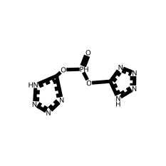 O=[PH](Oc1nnn[nH]1)Oc1nnn[nH]1